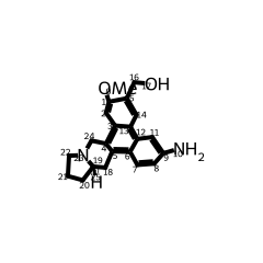 COc1cc2c3c(c4ccc(N)cc4c2cc1CO)C[C@@H]1CCCN1C3